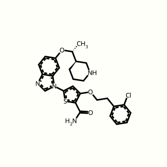 C[C@@H](Oc1ccc2ncn(-c3cc(OCCc4ccccc4Cl)c(C(N)=O)s3)c2c1)[C@@H]1CCCNC1